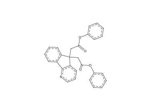 O=C(CC1(CC(=O)Oc2ccccc2)c2ccccc2-c2ncccc21)Oc1ccccc1